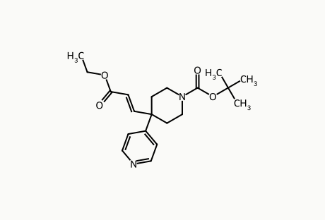 CCOC(=O)/C=C/C1(c2ccncc2)CCN(C(=O)OC(C)(C)C)CC1